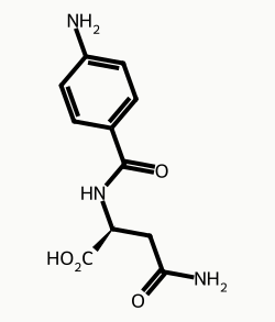 NC(=O)C[C@H](NC(=O)c1ccc(N)cc1)C(=O)O